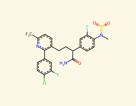 CN(c1ccc(C(CCc2ccc(C(F)(F)F)nc2-c2ccc(Cl)c(F)c2)C(N)=O)cc1F)[SH](=O)=O